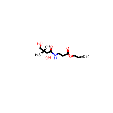 CCCCCCCCCCCCOC(=O)CCNC(=O)[C@H](O)C(C)(C)CO